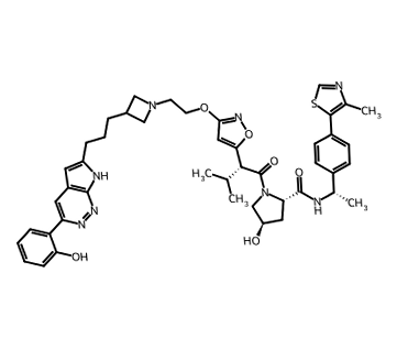 Cc1ncsc1-c1ccc([C@H](C)NC(=O)[C@@H]2C[C@@H](O)CN2C(=O)[C@@H](c2cc(OCCN3CC(CCCc4cc5cc(-c6ccccc6O)nnc5[nH]4)C3)no2)C(C)C)cc1